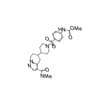 CNC(=O)c1cnn2c1CC(C1CCN(S(=O)(=O)c3ccc(NC(=O)OC)cc3)CC1)CC2